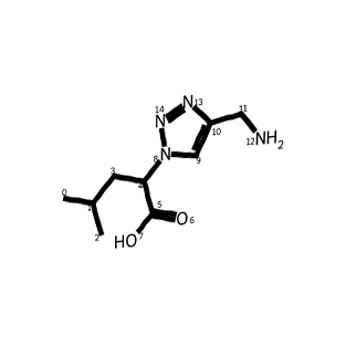 CC(C)CC(C(=O)O)n1cc(CN)nn1